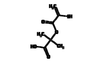 C=C(S)C(=O)OC(C)(C)C(=O)O